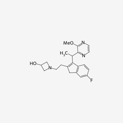 COc1nccnc1C(C)C1=C(CCN2CC(O)C2)Cc2cc(F)ccc21